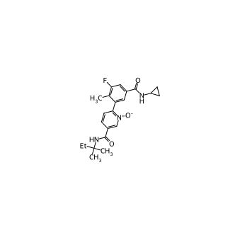 CCC(C)(C)NC(=O)c1ccc(-c2cc(C(=O)NC3CC3)cc(F)c2C)[n+]([O-])c1